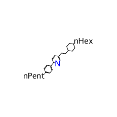 CCCCCCC1CCC(CCc2ccc(-c3ccc(CCCCC)cc3)nc2)CC1